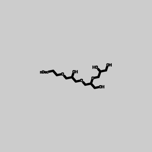 CCCCCCCCCCCCOCC(O)COCC(CO)OCC(O)CO